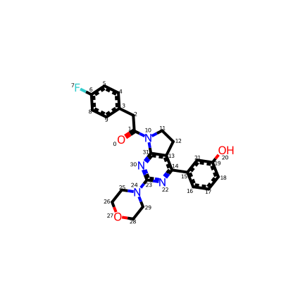 O=C(Cc1ccc(F)cc1)N1CCc2c(-c3cccc(O)c3)nc(N3CCOCC3)nc21